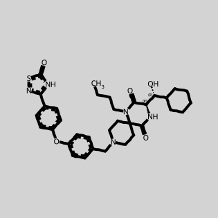 CCCCN1C(=O)[C@@H]([C@H](O)C2CCCCC2)NC(=O)C12CCN(Cc1ccc(Oc3ccc(-c4nsc(=O)[nH]4)cc3)cc1)CC2